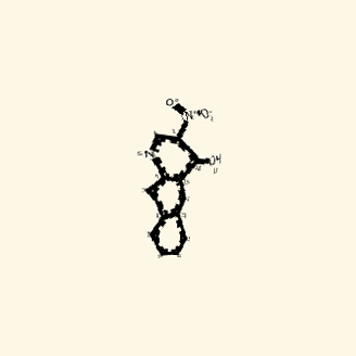 O=[N+]([O-])c1cnc2cc3ccccc3cc2c1O